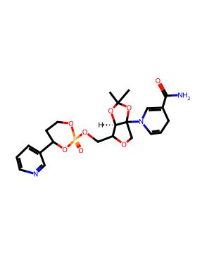 CC1(C)O[C@@H]2C(COP3(=O)OCCC(c4cccnc4)O3)OCC2(N2C=CCC(C(N)=O)=C2)O1